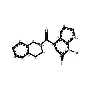 O=C(c1cc(=O)n(O)c2ncccc12)N1CCc2ccccc2C1